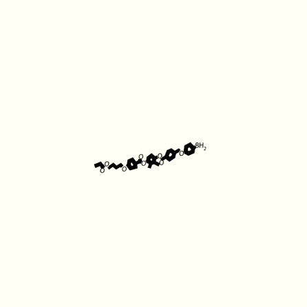 Bc1ccc(OCc2ccc(C(=O)Oc3ccc(OC(=O)c4ccc(OCCCCOC(=O)C=C)cc4)c(C)c3C)cc2)cc1